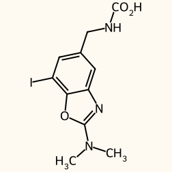 CN(C)c1nc2cc(CNC(=O)O)cc(I)c2o1